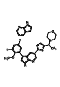 COc1c(F)cc(F)cc1-c1c[nH]c2ncc(-c3ccc(C(C)N4CCOCC4)s3)cc12.c1cnc2[nH]ccc2c1